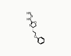 N=NNC1=N[C@@H](CCOc2ccccc2)CO1